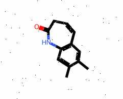 Cc1cc2c(cc1C)NC(=O)CC=C2